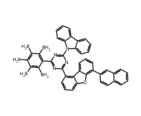 Bc1c(B)c(B)c(-c2nc(-c3cccc4oc5c(-c6ccc7ccccc7c6)cccc5c34)nc(-n3c4ccccc4c4ccccc43)n2)c(B)c1B